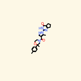 Cc1ccc(C2(C)CN(C(=O)c3cnn(-c4nc5c(c(=O)[nH]4)CCC5)c3C)CCO2)cc1